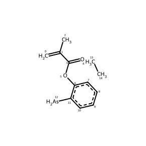 C=C(C)C(=O)Oc1ccccc1[AsH2].CC